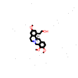 COc1cc(CCO)c2c(c1)CCN1Cc3c(ccc(OC)c3OC)C[C@@H]21